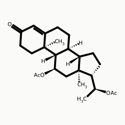 CC(=O)O[C@@H](C)[C@H]1CC[C@H]2[C@@H]3CCC4=CC(=O)CC[C@]4(C)[C@H]3[C@H](OC(C)=O)C[C@]12C